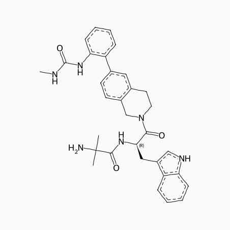 CNC(=O)Nc1ccccc1-c1ccc2c(c1)CCN(C(=O)[C@@H](Cc1c[nH]c3ccccc13)NC(=O)C(C)(C)N)C2